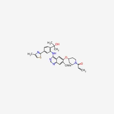 C=CC(=O)N1CCC(Oc2cc3c(Nc4cc(-c5nc(C)cs5)ccc4C(C)(C)O)ncnc3cc2OC)CC1